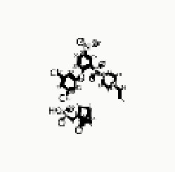 CC1(C)C2CCC1(CS(=O)(=O)O)C(=O)C2.CCN1CCN(S(=O)(=O)c2cc([N+](=O)[O-])ccc2Oc2cc(Cl)cc(Cl)c2)CC1